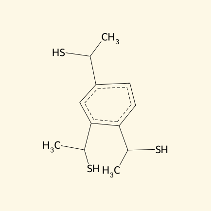 CC(S)c1ccc(C(C)S)c(C(C)S)c1